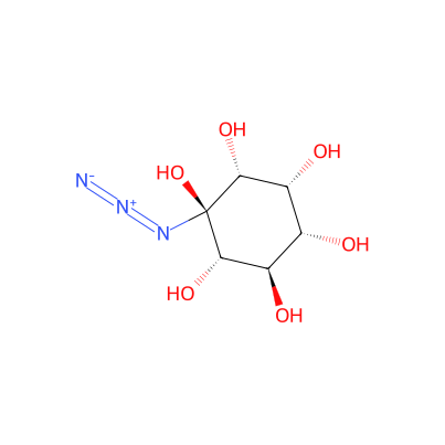 [N-]=[N+]=N[C@]1(O)[C@H](O)[C@H](O)[C@H](O)[C@@H](O)[C@@H]1O